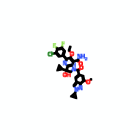 CCOc1c(C(N)=O)cc([C@@](O)(CNC(=O)c2cc(OC)c3nn(C4CC4)cc3c2)C2CC2)nc1-c1cc(F)c(F)c(Cl)c1